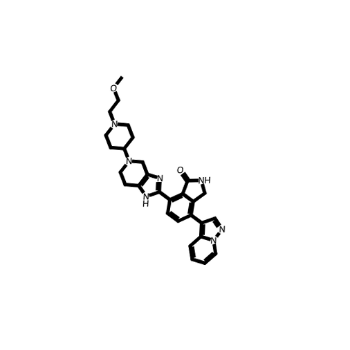 COCCN1CCC(N2CCc3[nH]c(-c4ccc(-c5cnn6ccccc56)c5c4C(=O)NC5)nc3C2)CC1